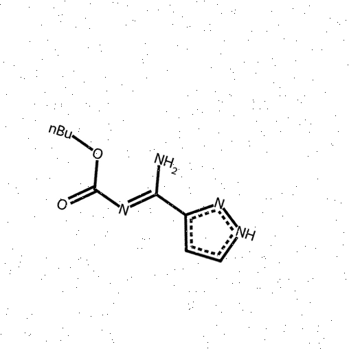 CCCCOC(=O)N=C(N)c1cc[nH]n1